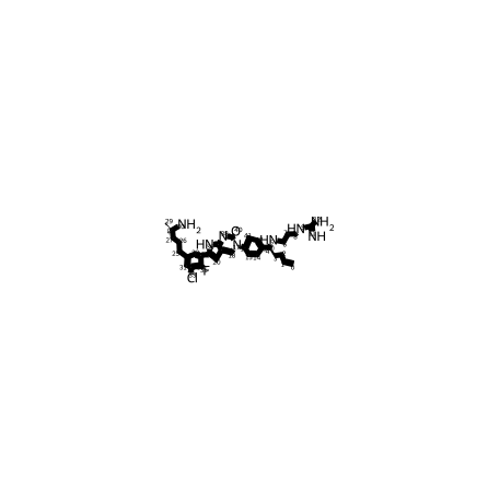 C=CCC[C@H](NCCCNC(=N)N)c1ccc(-n2cc3cc(-c4cc(CCC[C@H](C)N)cc(Cl)c4F)[nH]c3nc2=O)cc1